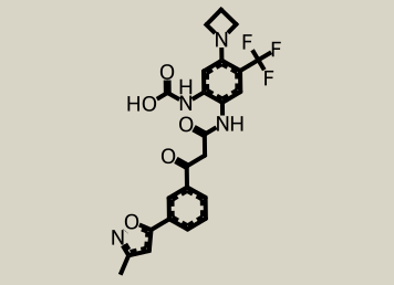 Cc1cc(-c2cccc(C(=O)CC(=O)Nc3cc(C(F)(F)F)c(N4CCC4)cc3NC(=O)O)c2)on1